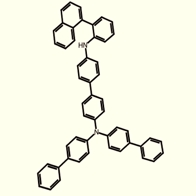 c1ccc(-c2ccc(N(c3ccc(-c4ccccc4)cc3)c3ccc(-c4ccc(Nc5ccccc5-c5cccc6ccccc56)cc4)cc3)cc2)cc1